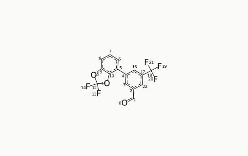 O=Cc1cc(-c2cccc3c2OC(F)(F)O3)cc(C(F)(F)F)c1